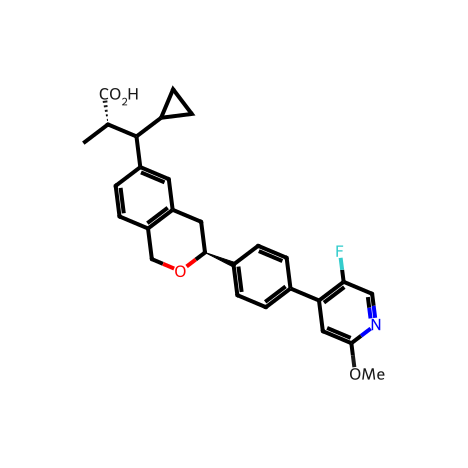 COc1cc(-c2ccc([C@@H]3Cc4cc(C(C5CC5)[C@H](C)C(=O)O)ccc4CO3)cc2)c(F)cn1